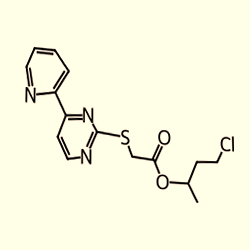 CC(CCCl)OC(=O)CSc1nccc(-c2ccccn2)n1